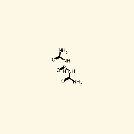 NC(=O)N[PH](=O)NC(N)=O